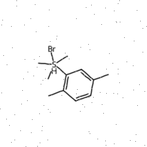 Cc1ccc(C)c([SH](C)(C)(C)Br)c1